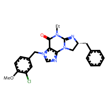 CCN1C(=O)c2c(ncn2Cc2ccc(OC)c(Cl)c2)N2C[C@@H](Cc3ccccc3)N=C12